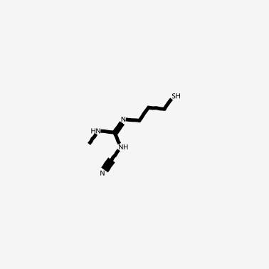 CN/C(=N/CCCS)NC#N